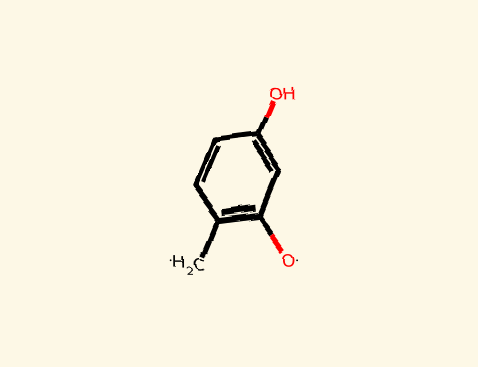 [CH2]c1ccc(O)cc1[O]